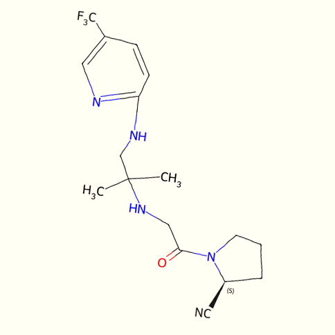 CC(C)(CNc1ccc(C(F)(F)F)cn1)NCC(=O)N1CCC[C@H]1C#N